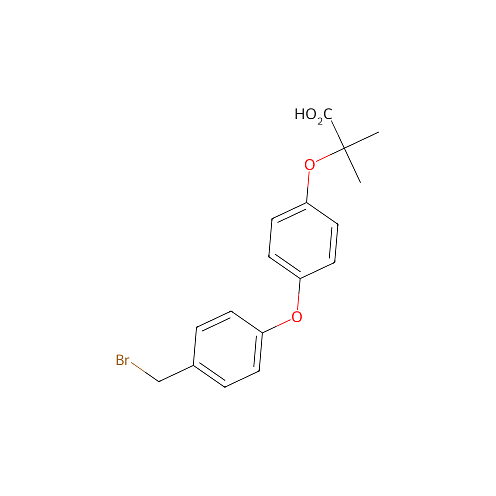 CC(C)(Oc1ccc(Oc2ccc(CBr)cc2)cc1)C(=O)O